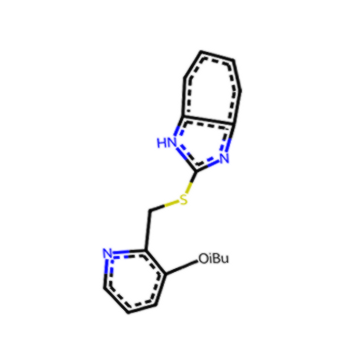 CC(C)COc1cccnc1CSc1nc2ccccc2[nH]1